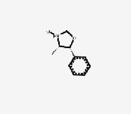 C[C@H]1[C@@H](c2ccccc2)OC[NH+]1[O-]